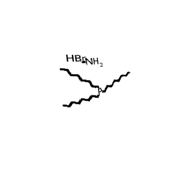 Br.CCCCCCCCP(CCCCCCCC)CCCCCCCC.CN